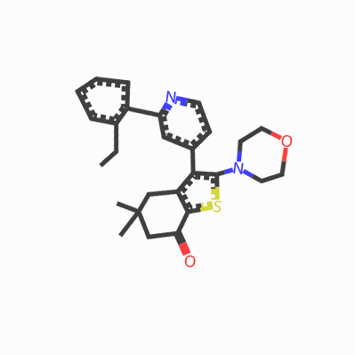 CCc1ccccc1-c1cc(-c2c(N3CCOCC3)sc3c2CC(C)(C)CC3=O)ccn1